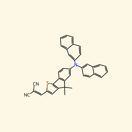 CC1(C)c2cc(N(c3ccc4ccccc4c3)c3ccc4ccccc4c3)ccc2-c2sc(C=C(C#N)C#N)cc21